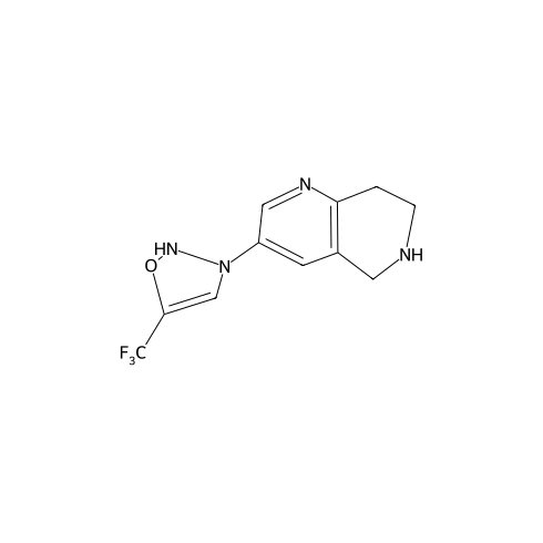 FC(F)(F)C1=CN(c2cnc3c(c2)CNCC3)NO1